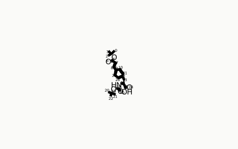 CC(C)(C)OC(=O)C=Cc1ccc(C[C@H](NC(=O)OC(C)(C)C)C(=O)O)cc1